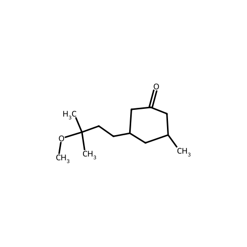 COC(C)(C)CCC1CC(=O)CC(C)C1